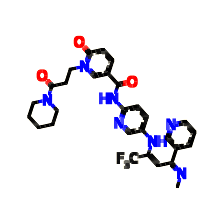 C/N=C(\C=C(/Nc1ccc(NC(=O)c2ccc(=O)n(CCC(=O)N3CCCCC3)c2)nc1)C(F)(F)F)c1cccnc1